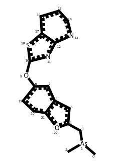 C[As](C)Cc1cc2cc(Oc3nc4ncccc4s3)ccc2o1